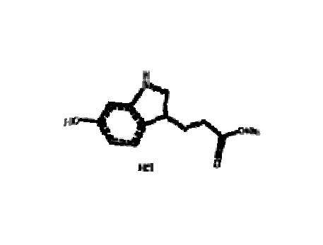 COC(=O)CCC1CNc2cc(O)ccc21.Cl